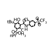 CCCS(=O)(=O)c1cc(C(C)(C)C)c(O)c(C(=O)Nc2ccc(S(=O)(=O)C(F)(F)F)cc2Cl)c1C